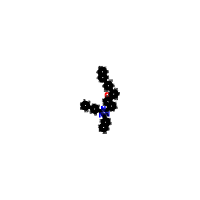 c1ccc(-c2ccc(-c3nc(-c4ccc5ccccc5c4)nc(-c4cccc5c4ccc4oc6c(-c7ccc(-c8ccc9ccccc9c8)cc7)cccc6c45)n3)cc2)cc1